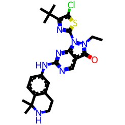 CCn1c(=O)c2cnc(Nc3ccc4c(c3)CCNC4(C)C)nc2n1-c1nc(C(C)(C)C)c(Cl)s1